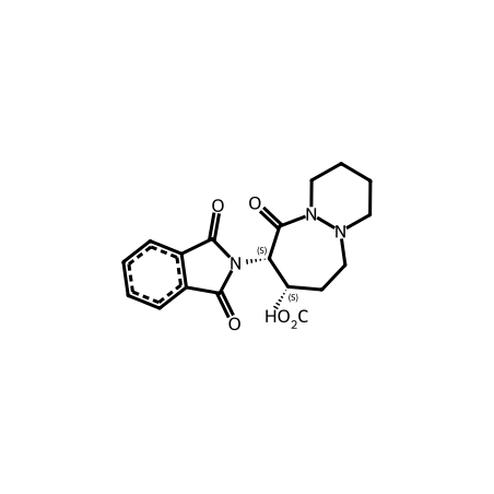 O=C(O)[C@H]1CCN2CCCCN2C(=O)[C@H]1N1C(=O)c2ccccc2C1=O